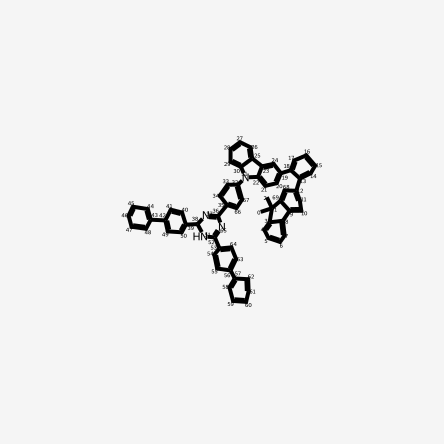 CC1(C)c2ccccc2-c2ccc(-c3ccccc3-c3ccc4c(c3)c3ccccc3n4-c3ccc(C4=NC(c5ccc(-c6ccccc6)cc5)NC(c5ccc(-c6ccccc6)cc5)=N4)cc3)cc21